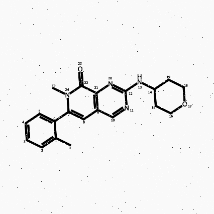 Cc1ccccc1-c1cc2cnc(NC3CCOCC3)nc2c(=O)n1C